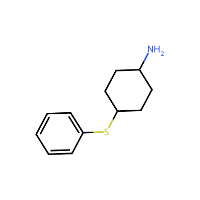 NC1CCC(Sc2ccccc2)CC1